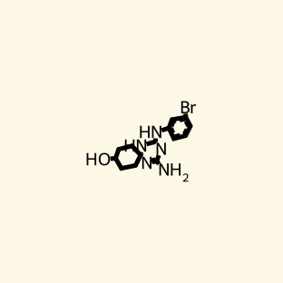 NC1=NC2(CCC(O)CC2)NC(Nc2cccc(Br)c2)=N1